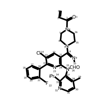 C=CC(=O)N1CCN(/C(=N/C)c2cc(Cl)c(-c3ccccc3F)nc2N(C=O)c2c(C)ccnc2C(C)C)CC1